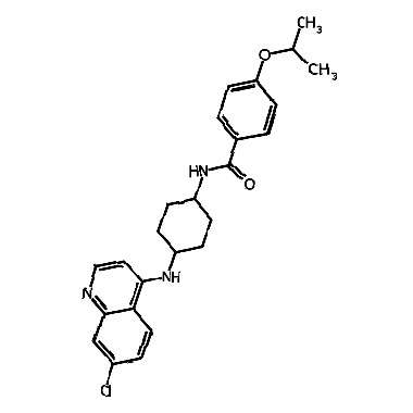 CC(C)Oc1ccc(C(=O)NC2CCC(Nc3ccnc4cc(Cl)ccc34)CC2)cc1